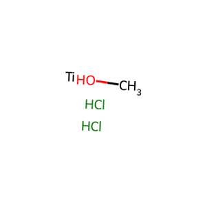 CO.Cl.Cl.[Ti]